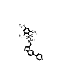 Cc1cc([N+](=O)[O-])cc(C)c1S(=O)(=O)NN=Cc1cnc2ccc(-c3ccncc3)cn12